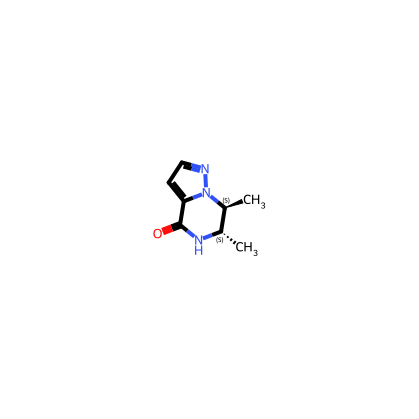 C[C@@H]1NC(=O)c2ccnn2[C@H]1C